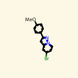 COc1ccc(-c2cc3cc(Br)ccn3n2)cc1